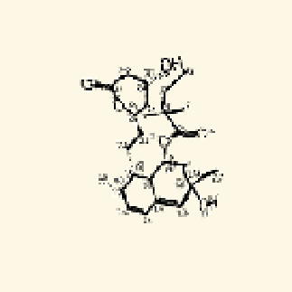 CCC(C)(C)C(=O)O[C@H]1C[C@](C)(O)C=C2C=C[C@H](C)[C@H](CC[C@@H]3C[C@@H](O)CC(=O)O3)C21